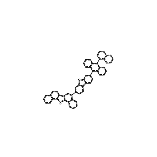 c1ccc2c(-c3c4ccccc4c(-c4ccc5c(c4)sc4cc(-c6cc7c8ccc9ccccc9c8sc7c7ccccc67)ccc45)c4ccccc34)cccc2c1